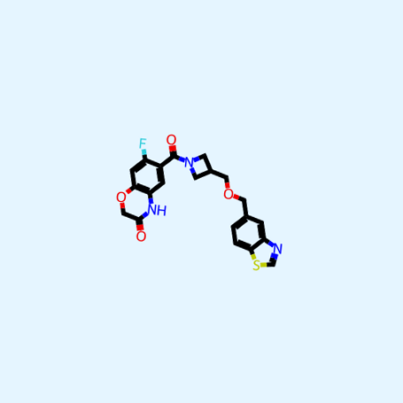 O=C1COc2cc(F)c(C(=O)N3CC(COCc4ccc5scnc5c4)C3)cc2N1